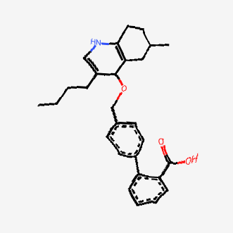 CCCCC1=CNC2=C(CC(C)CC2)C1OCc1ccc(-c2ccccc2C(=O)O)cc1